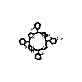 Fc1ccccc1-c1c2nc(c(-c3ccccc3F)c3ccc([nH]3)c(-c3ccccc3F)c3nc(c(-c4ccccc4F)c4ccc1[nH]4)C=C3)C=C2.[Co]